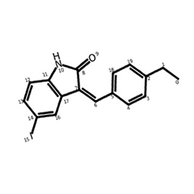 CCc1ccc(C=C2C(=O)Nc3ccc(I)cc32)cc1